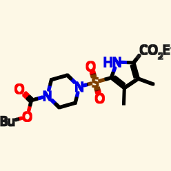 CCOC(=O)c1[nH]c(S(=O)(=O)N2CCN(C(=O)OC(C)(C)C)CC2)c(C)c1C